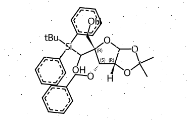 CC1(C)OC2O[C@@](CO)(C(O)[Si](c3ccccc3)(c3ccccc3)C(C)(C)C)[C@@H](OCc3ccccc3)[C@H]2O1